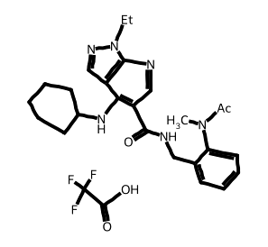 CCn1ncc2c(NC3CCCCC3)c(C(=O)NCc3ccccc3N(C)C(C)=O)cnc21.O=C(O)C(F)(F)F